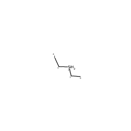 CC[SiH2]CI